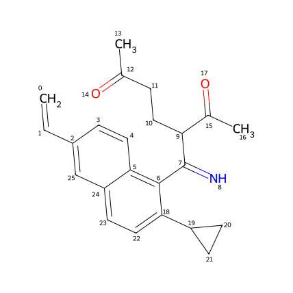 C=Cc1ccc2c(C(=N)C(CCC(C)=O)C(C)=O)c(C3CC3)ccc2c1